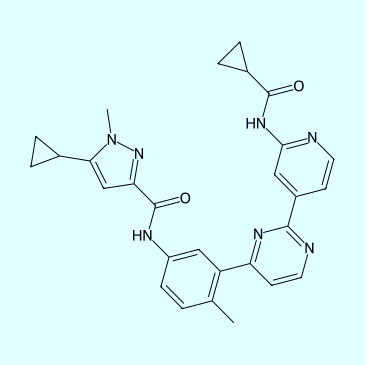 Cc1ccc(NC(=O)c2cc(C3CC3)n(C)n2)cc1-c1ccnc(-c2ccnc(NC(=O)C3CC3)c2)n1